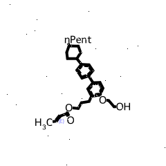 C/C=C/C(=O)OCCCc1cc(-c2ccc(C3CCC(CCCCC)CC3)cc2)ccc1OCCO